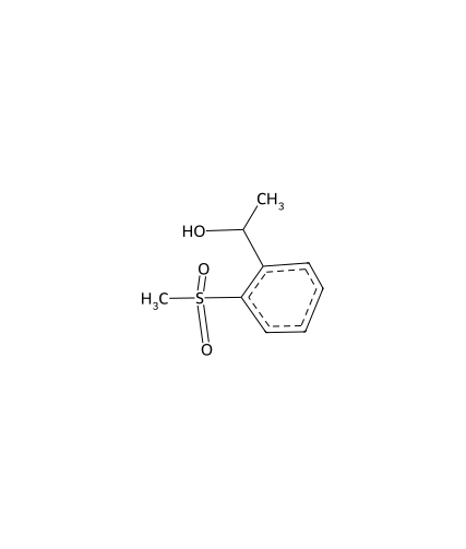 CC(O)c1ccccc1S(C)(=O)=O